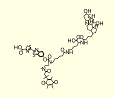 CC1=C(C)C(=O)C(C(C)(C)CC(=O)N(C)CCN(CCCCCC(=O)NCCCCC(NC(=O)CC[C@@H](C)C2CC[C@H]3[C@@H]4[C@H](O)C[C@@H]5C[C@H](O)CC[C@]5(C)[C@H]4CC[C@]23C)C(=O)O)C(=O)Oc2ccc3nc(C4=NC(C(=O)O)CS4)sc3c2)=C(C)C1=O